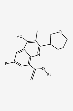 C=C(OCC)c1cc(F)cc2c(O)c(C)c(C3CCCOC3)nc12